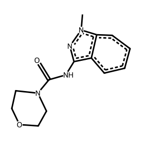 Cn1nc(NC(=O)N2CCOCC2)c2ccccc21